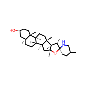 C[C@H]1CC[C@]2(NC1)O[C@@]1(C)C[C@@]3(C)[C@@H]4CC[C@@]5(C)C[C@H](O)CC[C@]5(C)[C@@]4(C)CC[C@]3(C)[C@@]1(C)[C@@H]2C